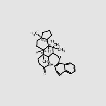 CC1(C)C(Oc2cccc3ccccc23)C2NC(=O)CC[C@]2(C)[C@@H]2CC[C@]3(C)CCC[C@H]3[C@@H]21